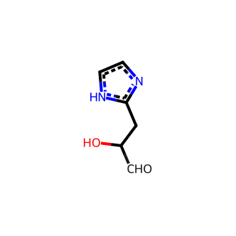 O=CC(O)Cc1ncc[nH]1